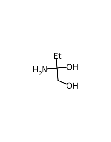 CCC(N)(O)CO